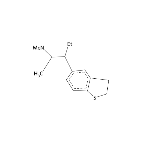 CCC(c1ccc2c(c1)CCS2)C(C)NC